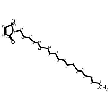 CCCCCCCCCCCCCCCCCCCCN1C(=O)C=CC1=O